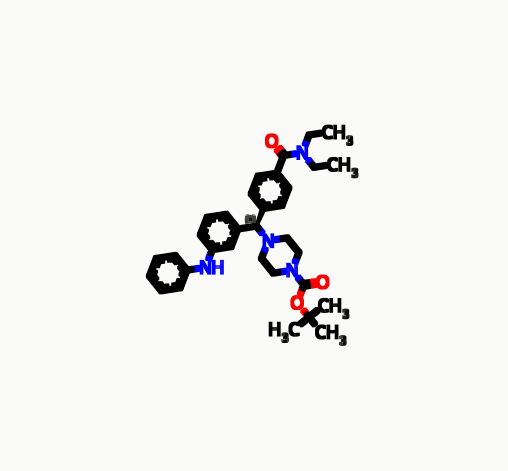 CCN(CC)C(=O)c1ccc([C@H](c2cccc(Nc3ccccc3)c2)N2CCN(C(=O)OC(C)(C)C)CC2)cc1